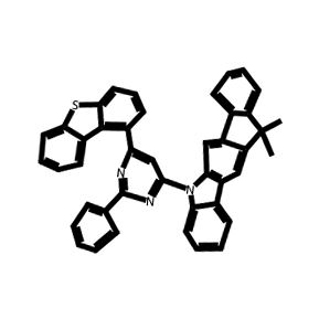 CC1(C)c2ccccc2-c2cc3c(cc21)c1ccccc1n3-c1cc(-c2cccc3sc4ccccc4c23)nc(-c2ccccc2)n1